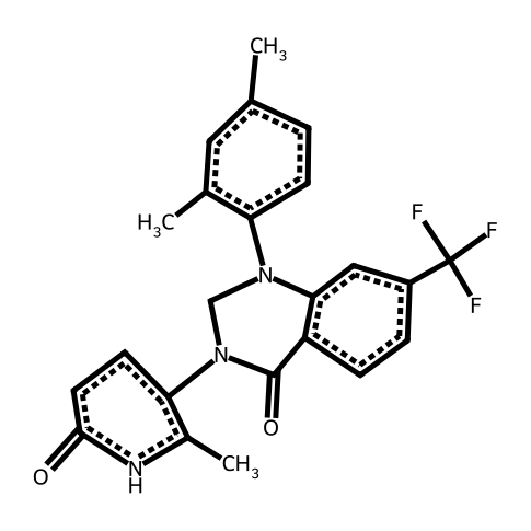 Cc1ccc(N2CN(c3ccc(=O)[nH]c3C)C(=O)c3ccc(C(F)(F)F)cc32)c(C)c1